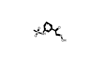 CS(=O)(=O)Nc1cccc(C(=O)/C=N/O)c1